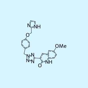 COc1ccc2[nH]c(=O)c(-c3nnn(Cc4ccc(OCc5ncc[nH]5)cc4)n3)cc2c1